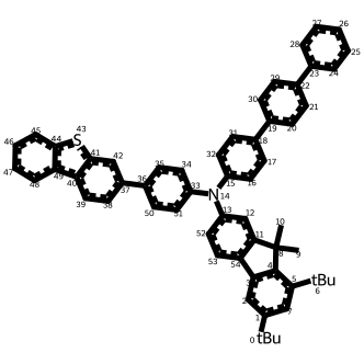 CC(C)(C)c1cc2c(c(C(C)(C)C)c1)C(C)(C)c1cc(N(c3ccc(-c4ccc(-c5ccccc5)cc4)cc3)c3ccc(-c4ccc5c(c4)sc4ccccc45)cc3)ccc1-2